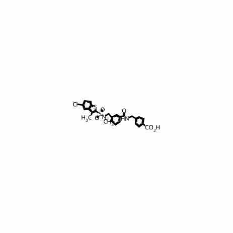 Cc1c(S(=O)(=O)N(C)Cc2cccc(C(=O)NCc3ccc(C(=O)O)cc3)c2)sc2ccc(Cl)cc12